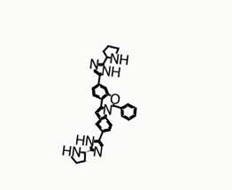 c1ccc(C2Oc3cc(-c4cnc(C5CCCN5)[nH]4)ccc3-c3cc4cc(-c5cnc([C@@H]6CCCN6)[nH]5)ccc4n32)cc1